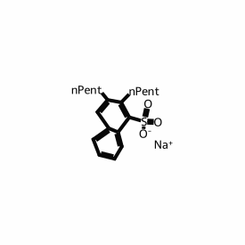 CCCCCc1cc2ccccc2c(S(=O)(=O)[O-])c1CCCCC.[Na+]